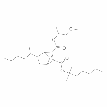 CCCCCC(C)(C)OC(=O)C1=C(C(=O)OC(C)COC)C2CC1CC2C(C)CCCC